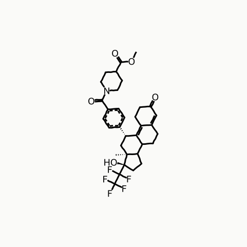 COC(=O)C1CCN(C(=O)c2ccc([C@H]3C[C@@]4(C)C(CC[C@]4(O)C(F)(F)C(F)(F)F)C4CCC5=CC(=O)CCC5=C43)cc2)CC1